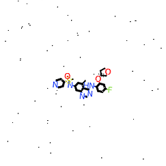 Cc1cc(N=S(C)(=O)c2ccncc2)cc2ncnc(Nc3ccc(F)cc3O[C@H]3CCOC3)c12